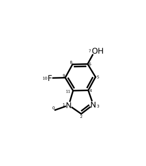 Cn1cnc2cc(O)cc(F)c21